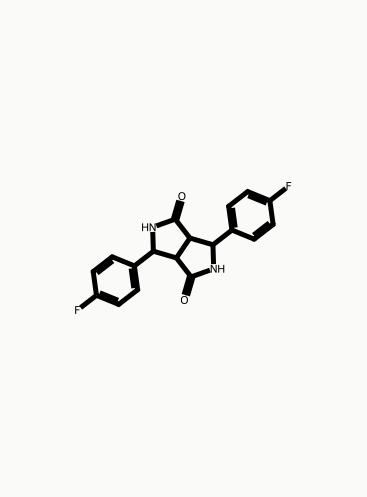 O=C1NC(c2ccc(F)cc2)C2C(=O)NC(c3ccc(F)cc3)C12